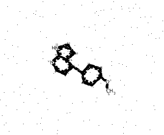 COc1ccc(-c2ccnc3[nH]ccc23)cc1